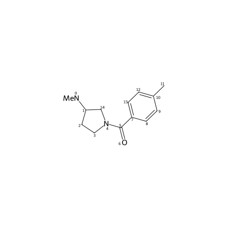 CNC1CCN(C(=O)c2ccc(C)cc2)C1